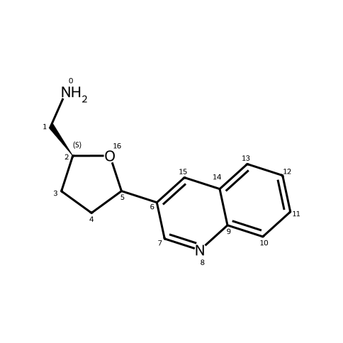 NC[C@@H]1CCC(c2cnc3ccccc3c2)O1